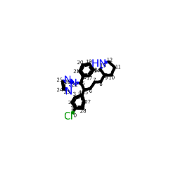 Clc1ccc(C(CCCC2CCCNC2)C(c2ccccc2)n2nccn2)cc1